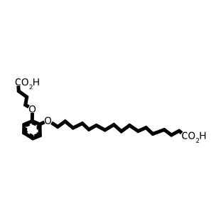 O=C(O)CCCCCCCCCCCCCCCCOc1ccccc1OCCCC(=O)O